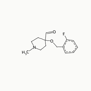 CN1CCC(C=O)(OCc2ccccc2F)CC1